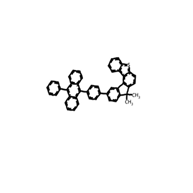 CC1(C)c2ccc(-c3ccc(-c4c5ccccc5c(-c5ccccc5)c5ccccc45)cc3)cc2-c2c1ccc1sc3ccccc3c21